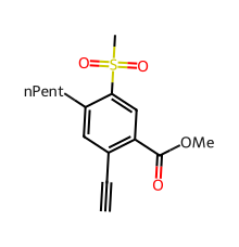 C#Cc1cc(CCCCC)c(S(C)(=O)=O)cc1C(=O)OC